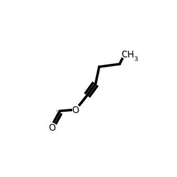 CCCC#CO[C]=O